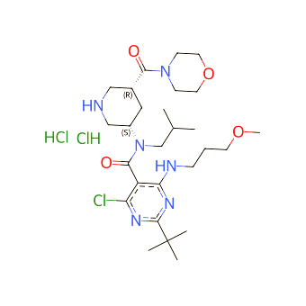 COCCCNc1nc(C(C)(C)C)nc(Cl)c1C(=O)N(CC(C)C)[C@@H]1CNC[C@H](C(=O)N2CCOCC2)C1.Cl.Cl